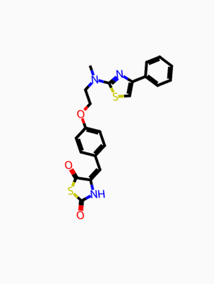 CN(CCOc1ccc(C=C2NC(=O)SC2=O)cc1)c1nc(-c2ccccc2)cs1